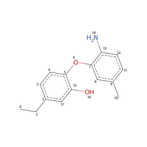 CCc1ccc(Oc2cc(C)ccc2N)c(O)c1